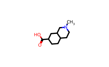 CN1CCC2CCC(C(=O)O)CC2C1